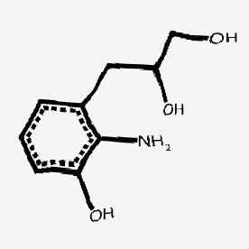 Nc1c(O)cccc1CC(O)CO